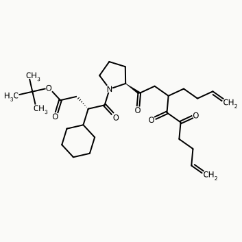 C=CCCC(=O)C(=O)C(CCC=C)CC(=O)[C@@H]1CCCN1C(=O)[C@@H](CC(=O)OC(C)(C)C)C1CCCCC1